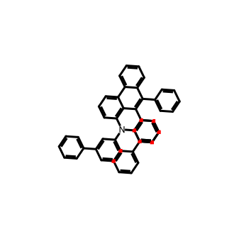 c1ccc(-c2cccc(N(c3ccccc3-c3ccccc3)c3cccc4c3c(-c3ccccc3)c(-c3ccccc3)c3ccccc34)c2)cc1